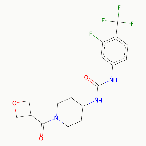 O=C(Nc1ccc(C(F)(F)F)c(F)c1)NC1CCN(C(=O)C2COC2)CC1